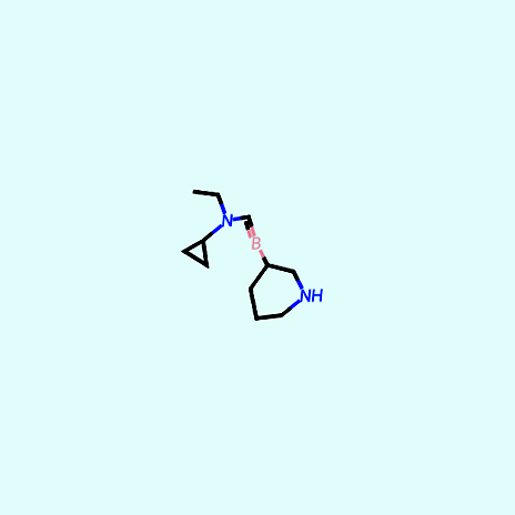 CCN(/C=B\C1CCCNC1)C1CC1